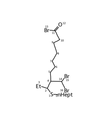 CCCCCCCSC(CC)C(CCCCCCC(=O)Br)C(Br)Br